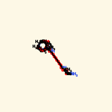 CO[C@H]1C[C@@H]2CC[C@@H](C)[C@@](O)(O2)C(=O)C(=O)N2CCCC[C@H]2C(=O)O[C@H]([C@H](N)C[C@@H]2CC[C@@H](OC(=O)NCCOCCOCCOCCOCCOCCOCCOCCOCCC(=O)NCC[S+]([O-])c3ccc(C(=O)N4CCOc5ccc(-c6ccc(N)nc6)cc5C4)c(C)c3)[C@H](OC)C2)CC(=O)[C@H](C)/C=C(\C)[C@@H](O)[C@@H](O)C(=O)[C@H](C)C[C@H](C)/C=C/C=C/C=C/1C